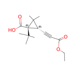 CCOC(=O)C#C[C@H]1C(C)(C)[C@]1(C(=O)O)C(C)(C)C